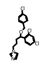 Clc1ccc(COC(CCCn2ccnc2)c2ccc(Cl)cc2Cl)cc1